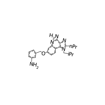 CCCc1nc2c(N)nc3cc(OCc4cccc(N)c4)ccc3c2n1CC(C)C